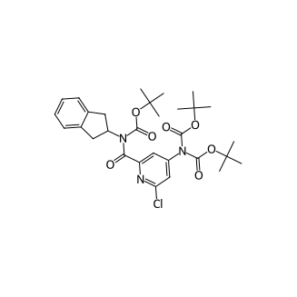 CC(C)(C)OC(=O)N(C(=O)OC(C)(C)C)c1cc(Cl)nc(C(=O)N(C(=O)OC(C)(C)C)C2Cc3ccccc3C2)c1